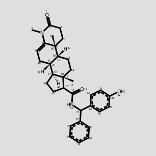 CN1C(=O)CC[C@@]2(C)C1=CC[C@@H]1[C@H]2CC[C@]2(C)C(C(=O)NC(c3ccccc3)c3ccc(O)cc3)CC[C@@H]12